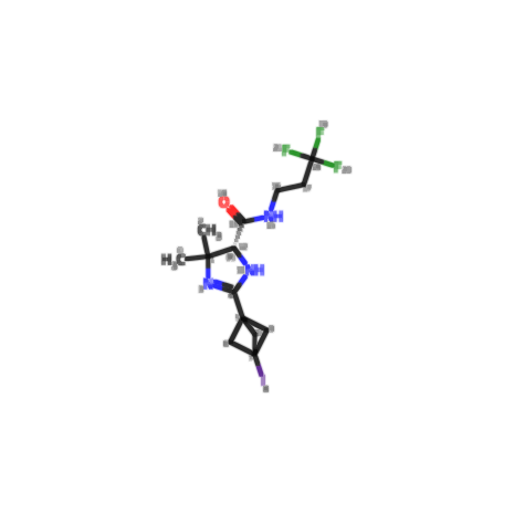 CC1(C)N=C(C23CC(I)(C2)C3)N[C@H]1C(=O)NCCC(F)(F)F